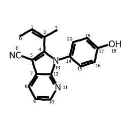 C/C=C(/C)c1c(C#N)c2cccnc2n1-c1ccc(O)cc1